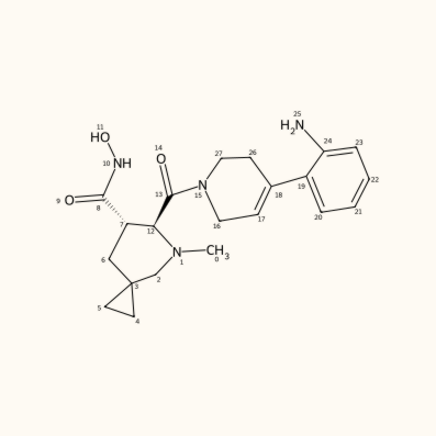 CN1CC2(CC2)C[C@H](C(=O)NO)[C@H]1C(=O)N1CC=C(c2ccccc2N)CC1